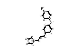 Fc1ccc(Sc2ccc(C=CCn3ccnc3)cc2)cc1